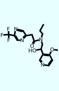 CCCN(CC(O)c1cnccc1OC)C(=O)Cc1cnc(C(F)(F)F)cn1